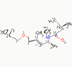 CCOC(=O)COC/C(C)=C/[C@H](C(C)C)N(C)C(=O)[C@@H](C)C(C)(C)C